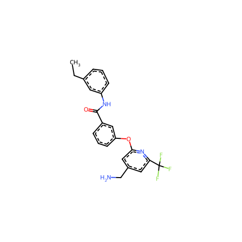 CCc1cccc(NC(=O)c2cccc(Oc3cc(CN)cc(C(F)(F)F)n3)c2)c1